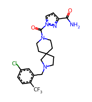 NC(=O)c1ccn(C(=O)N2CCC3(CCN(Cc4cc(Cl)ccc4C(F)(F)F)C3)CC2)n1